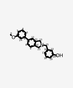 COc1cccc(-c2ccc3c(c2)CN(Cc2cccc(O)c2)C3)c1